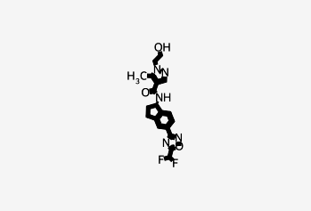 Cc1c(C(=O)N[C@@H]2CCc3cc(-c4noc(C(F)F)n4)ccc32)cnn1CCO